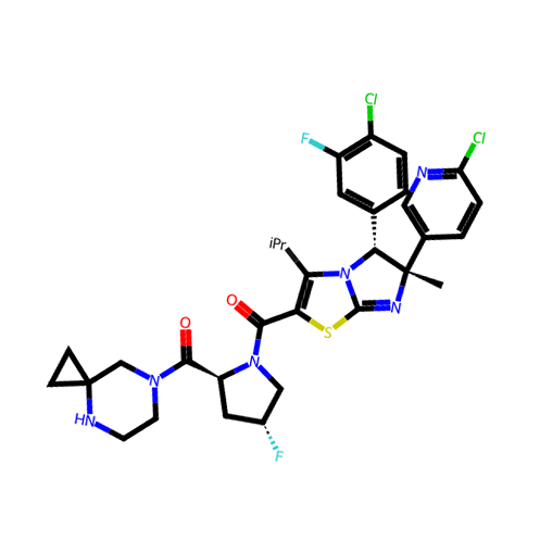 CC(C)C1=C(C(=O)N2C[C@H](F)C[C@H]2C(=O)N2CCNC3(CC3)C2)SC2=N[C@@](C)(c3ccc(Cl)nc3)[C@@H](c3ccc(Cl)c(F)c3)N21